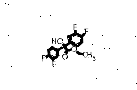 CCOC(=O)C(O)(c1ccc(F)c(F)c1)c1ccc(F)c(F)c1